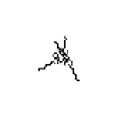 CCCCCCOC(=O)OC(CCCCC)([O][Sn][CH2]CCC)OC(=O)OCCCCCC